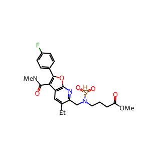 CCc1cc2c(C(=O)NC)c(-c3ccc(F)cc3)oc2nc1CN(CCCC(=O)OC)[SH](=O)=O